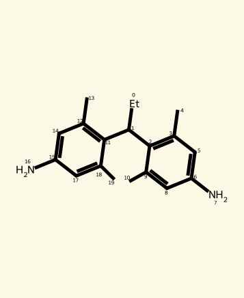 CCC(c1c(C)cc(N)cc1C)c1c(C)cc(N)cc1C